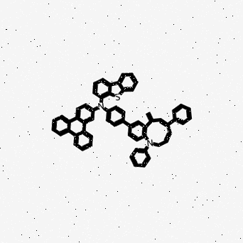 C=C1/C=C(c2ccccc2)\C=C/CN(c2ccccc2)c2ccc(-c3ccc(N(c4ccc5c6ccccc6c6ccccc6c5c4)c4cccc5c4sc4ccccc45)cc3)cc21